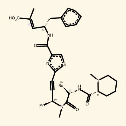 CC[C@H](C)[C@H](NC(=O)[C@H]1CCCCN1C)C(=O)N(C)[C@H](C#Cc1nc(C(=O)N[C@H](/C=C(\C)C(=O)O)Cc2ccccc2)cs1)C(C)C